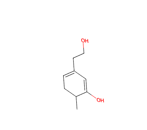 CC1CC=C(CCO)C=C1O